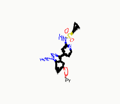 CC(C)Oc1ccc2[nH]nc(-c3ccnc(NS(=O)(=O)C4CC4)c3)c2c1